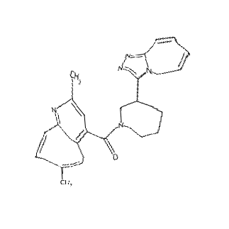 Cc1ccc2nc(C)cc(C(=O)N3CCCC(c4nnc5ccccn45)C3)c2c1